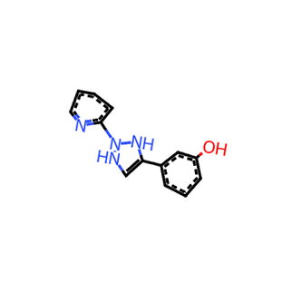 Oc1cccc(C2=CNN(c3ccccn3)N2)c1